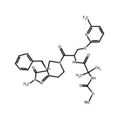 CN1N=C2CCN(C(=O)C(COc3cccc(C(F)(F)F)n3)NC(=O)C(C)(C)NC(=O)OC(C)(C)C)C[C@@]2(Cc2ccccc2)C1=O